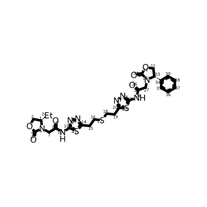 CC[C@H]1COC(=O)N1CC(=O)Nc1nnc(CCSCCc2nnc(NC(=O)CN3C(=O)OC[C@@H]3c3ccccc3)s2)s1